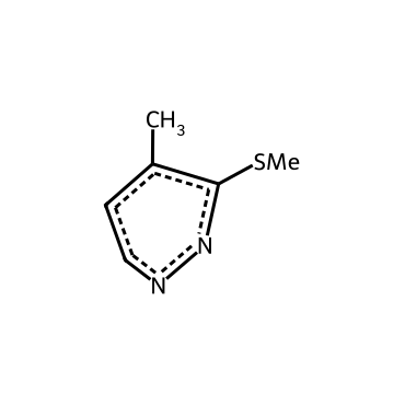 CSc1nnccc1C